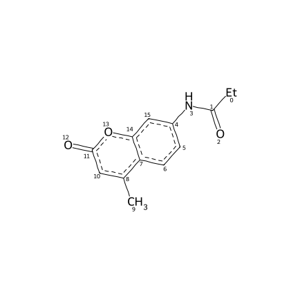 CCC(=O)Nc1ccc2c(C)cc(=O)oc2c1